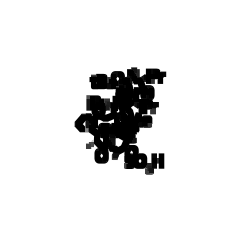 CC[C@H](C)[C@@H]([C@@H](CC(=O)N1CCC[C@H]1[C@H](OC)[C@@H](C)C(=O)N[C@H](C)[C@@H](OS(=O)(=O)O)c1ccccc1)OC)N(C)C(=O)[C@@H](NC(=O)[C@H](C(C)C)N(C)C(=O)OC(C)(C)C)C(C)C